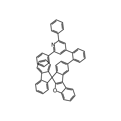 c1ccc(-c2cc(-c3ccccc3-c3ccc4c(c3)-c3c(oc5ccccc35)C43c4ccccc4-c4ccccc43)cc(-c3ccccc3)n2)cc1